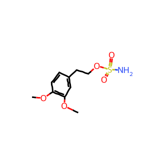 COc1ccc(CCOS(N)(=O)=O)cc1OC